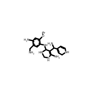 CC(C)Oc1cc(N)c(CN)cc1NC1NCNC(N)=C1C(N)C1=CCNC=C1